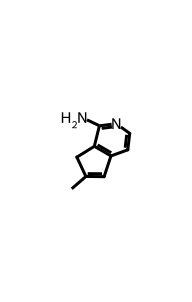 CC1=Cc2ccnc(N)c2C1